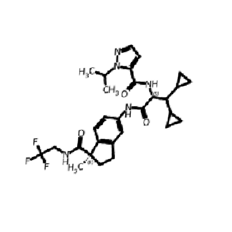 CC(C)n1nccc1C(=O)N[C@H](C(=O)Nc1ccc2c(c1)CC[C@@]2(C)C(=O)NCC(F)(F)F)C(C1CC1)C1CC1